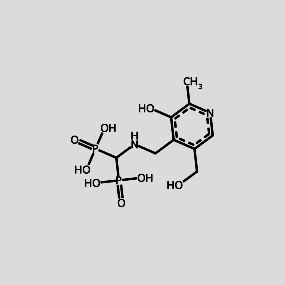 Cc1ncc(CO)c(CNC(P(=O)(O)O)P(=O)(O)O)c1O